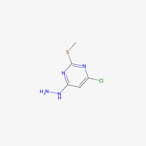 CSc1nc(Cl)cc(NN)n1